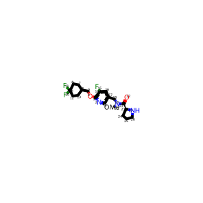 COc1nc(OCC2CCC(F)(F)CC2)c(F)cc1CN(C)C(=O)[C@@H]1CCCN1